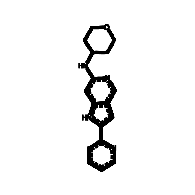 c1ccc(-c2cc3cnc(NC4CCOCC4)cc3[nH]2)nc1